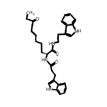 CCC(=O)CCCCC[C@H](NC(=O)CCc1c[nH]c2ccccc12)C(=O)NCCc1c[nH]c2ccccc12